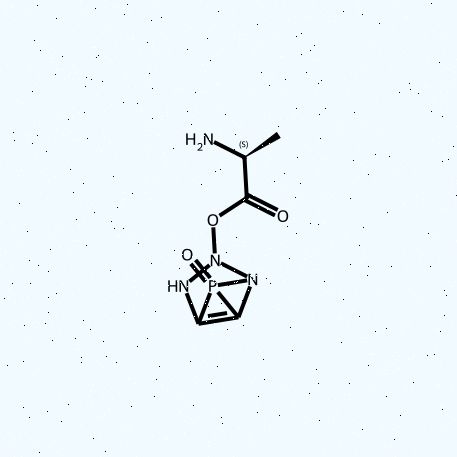 C[C@H](N)C(=O)ON1NC2=C3N1P23=O